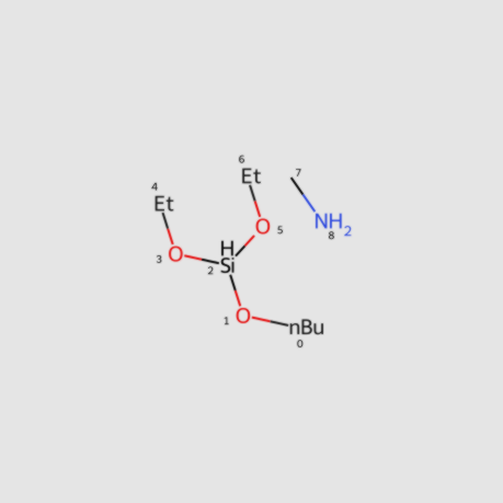 CCCCO[SiH](OCC)OCC.CN